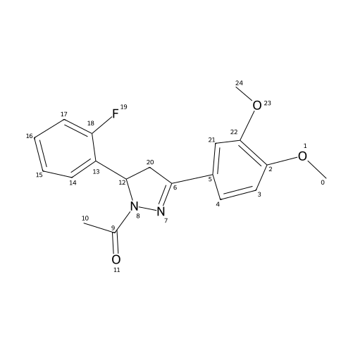 COc1ccc(C2=NN(C(C)=O)C(c3ccccc3F)C2)cc1OC